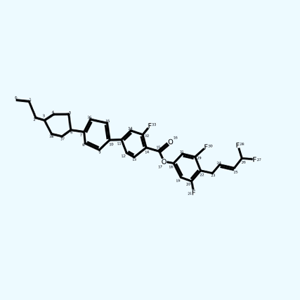 CCCC1CCC(c2ccc(-c3ccc(C(=O)Oc4cc(F)c(C/C=C/C(F)F)c(F)c4)c(F)c3)cc2)CC1